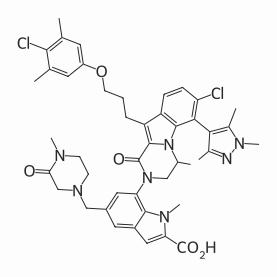 Cc1cc(OCCCc2c3n(c4c(-c5c(C)nn(C)c5C)c(Cl)ccc24)C(C)CN(c2cc(CN4CCN(C)C(=O)C4)cc4cc(C(=O)O)n(C)c24)C3=O)cc(C)c1Cl